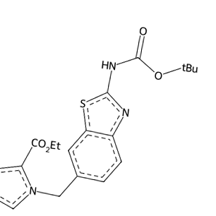 CCOC(=O)c1nccn1Cc1ccc2nc(NC(=O)OC(C)(C)C)sc2c1